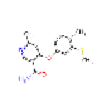 CSc1cc(Oc2cc(C)ncc2C(N)=O)ccc1C